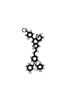 Clc1ccc(C(=Cc2ccc(C=Cc3ccc(N(c4ccccc4)c4ccccc4)cc3)s2)c2ccccn2)cc1